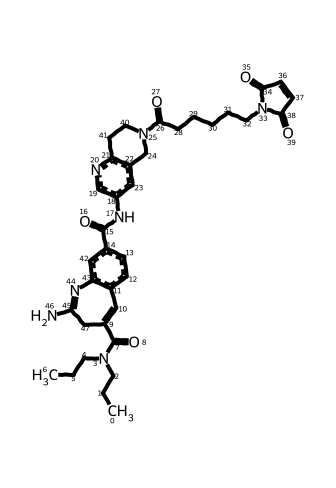 CCCN(CCC)C(=O)C1=Cc2ccc(C(=O)Nc3cnc4c(c3)CN(C(=O)CCCCCN3C(=O)C=CC3=O)CC4)cc2N=C(N)C1